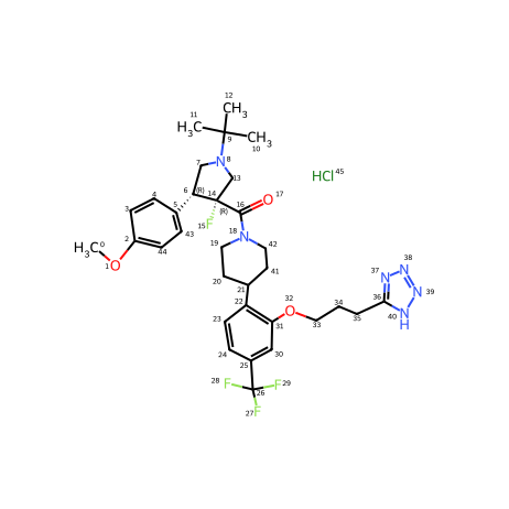 COc1ccc([C@@H]2CN(C(C)(C)C)C[C@@]2(F)C(=O)N2CCC(c3ccc(C(F)(F)F)cc3OCCCc3nnn[nH]3)CC2)cc1.Cl